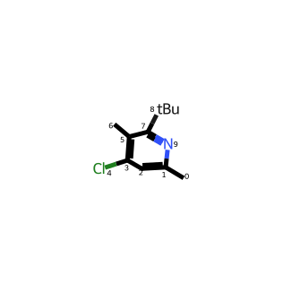 Cc1cc(Cl)c(C)c(C(C)(C)C)n1